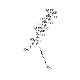 CCCCCCCCCCCCC/C=C/[C@@H](O)[C@H](CO[C@@H]1OC(CO)[C@@H](O[C@@H]2OC(CO)[C@H](O[C@@H]3OC(CO)[C@H](O)[C@H](O[C@H]4OC(CO)[C@H](O)[C@H](O)C4O)C3O)[C@H](O)C2O)[C@H](O)C1O)NC(=O)CCCCCCCCCCCCCCCCCCCCCCC